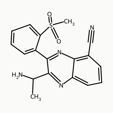 CC(N)c1nc2cccc(C#N)c2nc1-c1ccccc1S(C)(=O)=O